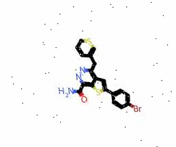 NC(=O)c1nnc(CC2=CSCC=C2)c2cc(-c3ccc(Br)cc3)sc12